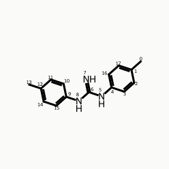 Cc1ccc(NC(=N)Nc2ccc(C)cc2)cc1